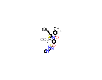 CC(C)(C)C#Cc1cc(N(C(=O)[C@H]2CC[C@H](C)CC2)C2CCC(Oc3nc(CN4CCCC4)ns3)CC2)c(C(=O)O)s1